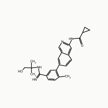 Cc1ccc(C(=N)NC(C)(C)CO)cc1-c1ccc2cc(NC(=O)C3CC3)ncc2c1